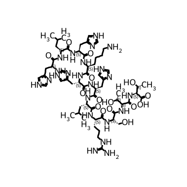 CC(C)C[C@H](NC(=O)[C@H](Cc1c[nH]cn1)NC(=O)[C@H](Cc1c[nH]cn1)NC(=O)[C@H](CCCCN)NC(=O)[C@H](Cc1c[nH]cn1)NC(=O)[C@H](CC(C)C)NC(=O)[C@@H](N)Cc1c[nH]cn1)C(=O)N[C@@H](CCCNC(=N)N)C(=O)N[C@@H](CO)C(=O)N[C@H](C(=O)N[C@H](C(=O)O)[C@@H](C)O)[C@@H](C)O